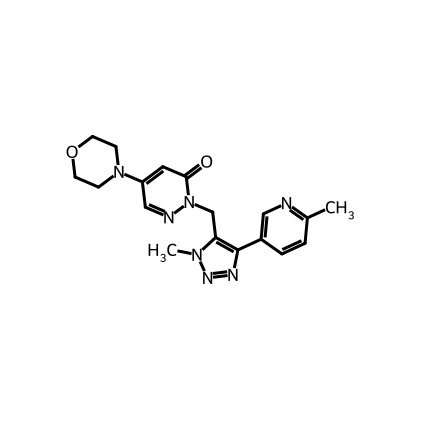 Cc1ccc(-c2nnn(C)c2Cn2ncc(N3CCOCC3)cc2=O)cn1